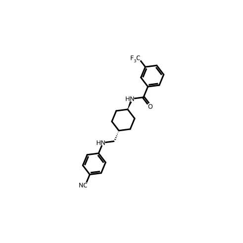 N#Cc1ccc(NC[C@H]2CC[C@H](NC(=O)c3cccc(C(F)(F)F)c3)CC2)cc1